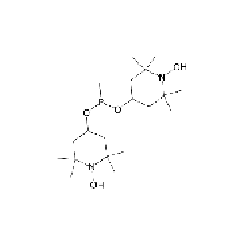 CP(OC1CC(C)(C)N(O)C(C)(C)C1)OC1CC(C)(C)N(O)C(C)(C)C1